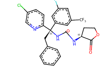 O=C(N[C@H]1CCOC1=O)N[C@@](Cc1ccccc1)(c1cc(F)cc(C(F)(F)F)c1)c1ccc(Cl)cn1